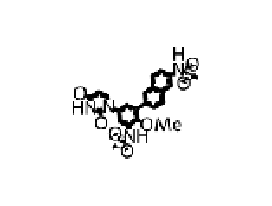 COc1c(NS(C)(=O)=O)cc(-n2ccc(=O)[nH]c2=O)cc1-c1ccc2cc(NS(C)(=O)=O)ccc2c1